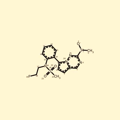 C[S+]([O-])c1ncc2ccc(-c3ccccc3N(CCF)S(C)(=O)=O)n2n1